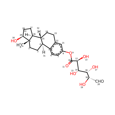 C[C@]12CC[C@@H]3c4ccc(OC(=O)[C@@H](O)[C@@H](O)[C@H](O)[C@@H](O)C=O)cc4CC[C@H]3[C@@H]1CC[C@@H]2O